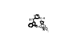 CC1(C)C[C@H](Nc2cc(N[C@@H]3CC(OS(N)(=O)=O)[C@@H](O)C3)ncn2)c2ccccc21